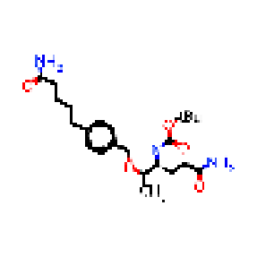 C[C@@H](OCc1ccc(CCCCC(N)=O)cc1)[C@H](CCC(N)=O)NC(=O)OC(C)(C)C